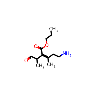 CCCOC(=O)C(=C(C)CCN)C(C)C=O